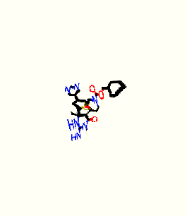 CN1C(=N)N[C@](C)(c2cc(-c3cncnc3)cs2)[C@@H](C2CCN(C(=O)OCc3ccccc3)CC2)C1=O